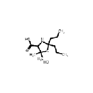 CCCC1(CCC)NC(C(=O)O)C(C)(C)S1.Cl